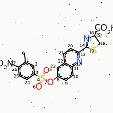 Cc1cc(S(=O)(=O)Oc2ccc3nc(C4=N[C@@H](C(=O)O)CS4)ccc3c2)ccc1[N+](=O)[O-]